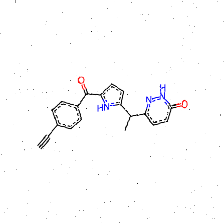 C#Cc1ccc(C(=O)c2ccc(C(C)c3ccc(=O)[nH]n3)[nH]2)cc1